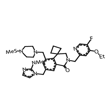 CCOc1cc(CN2CC3(CCC3)c3c(CN4CCN(SC)CC4)cc(Cn4ccnc4NC)cc3C2=O)ncc1F